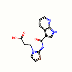 O=C(O)CCn1ccsc1=NC(=O)c1c[nH]c2ncccc12